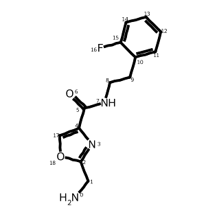 NCc1nc(C(=O)NCCc2ccccc2F)co1